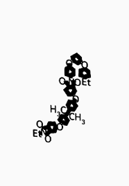 CCc1ccc(Oc2cccc(Oc3ccc(N4C(=O)c5ccc(Oc6ccc(C(C)(C)c7ccc(Oc8ccc9c(c8)C(=O)N(CC)C9=O)cc7)cc6)cc5C4=O)cc3)c2)cc1